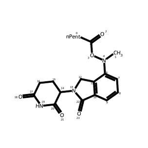 CCCCCC(=O)ON(C)c1cccc2c1CN(C1CCC(=O)NC1=O)C2=O